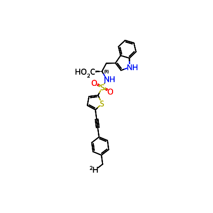 [2H]Cc1ccc(C#Cc2ccc(S(=O)(=O)N[C@H](Cc3c[nH]c4ccccc34)C(=O)O)s2)cc1